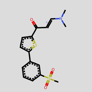 CN(C)/C=C/C(=O)c1ccc(-c2cccc(S(C)(=O)=O)c2)s1